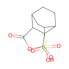 O=C1OC(=O)C2C3CCC(CC3S(=O)(=O)O)C12